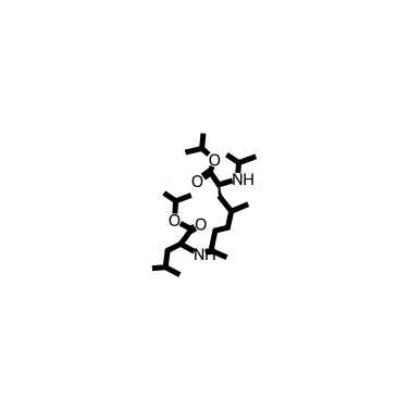 CC(C)CC(NC(C)CCC(C)C[C@H](NC(C)C)C(=O)OC(C)C)C(=O)OC(C)C